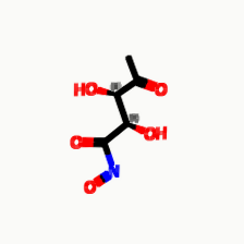 CC(=O)[C@H](O)[C@@H](O)C(=O)N=O